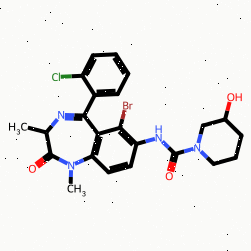 CC1N=C(c2ccccc2Cl)c2c(ccc(NC(=O)N3CCCC(O)C3)c2Br)N(C)C1=O